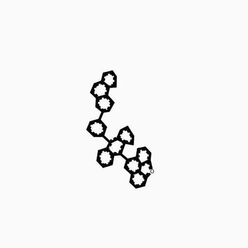 c1cc(-c2ccc3c(ccc4ccccc43)c2)cc(-c2c3ccccc3c(-c3cc4cccc5oc6cccc3c6c45)c3ccccc23)c1